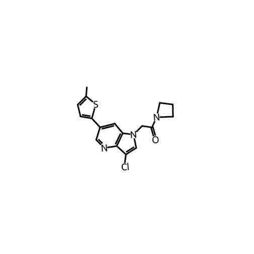 Cc1ccc(-c2cnc3c(Cl)cn(CC(=O)N4CCC4)c3c2)s1